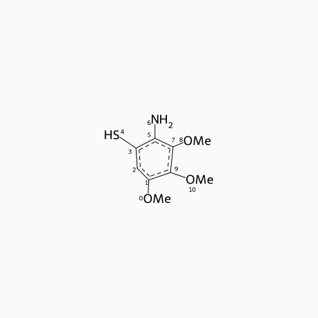 COc1cc(S)c(N)c(OC)c1OC